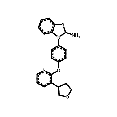 NC1Sc2ccccc2N1c1ccc(Oc2ncccc2C2CCOC2)cc1